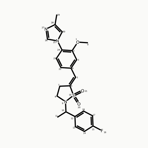 COc1cc(/C=C2\CCN(C(C)c3ccc(F)cc3)S2(=O)=O)ccc1-n1cnc(C)c1